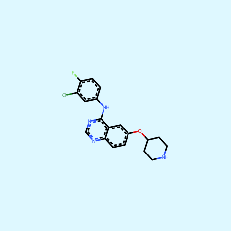 Fc1ccc(Nc2ncnc3ccc(OC4CCNCC4)cc23)cc1Cl